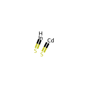 [S]=[Cd].[S]=[InH]